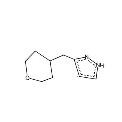 [c]1c[nH]nc1CC1CCOCC1